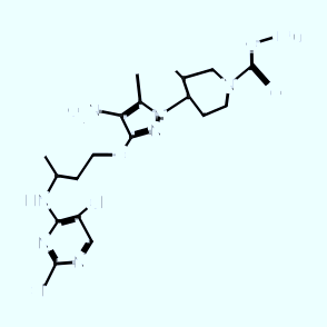 Cc1c([N+](=O)[O-])c(OCCC(C)Nc2nc(Cl)ncc2Cl)nn1C1CCN(C(=O)OC(C)(C)C)CC1F